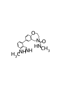 CNC(=O)N1CCOc2ccc(-c3cccc(NC)c3C=N)cc2C1